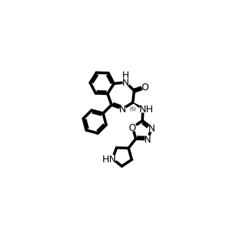 O=C1Nc2ccccc2C(c2ccccc2)=N[C@@H]1Nc1nnc(C2CCNC2)o1